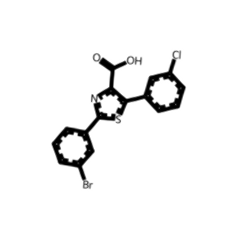 O=C(O)c1nc(-c2cccc(Br)c2)sc1-c1cccc(Cl)c1